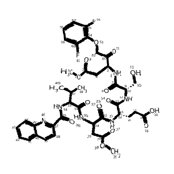 COC(=O)CC(NC(=O)[C@H](CO)NC(=O)[C@H](CCC(=O)O)NC(=O)C(CC(=O)OC)NC(=O)C(NC(=O)c1ccc2ccccc2n1)C(C)C)C(=O)COc1c(F)cccc1F